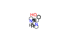 Oc1cccc(CC2[C@@H]3C[C@@H](CN4CCCC[C@H]34)[C@@H]3CCCCN23)c1